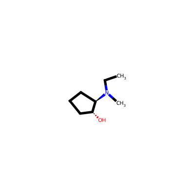 CCN(C)[C@@H]1CCC[C@H]1O